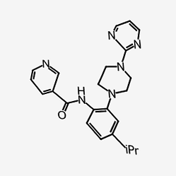 CC(C)c1ccc(NC(=O)c2cccnc2)c(N2CCN(c3ncccn3)CC2)c1